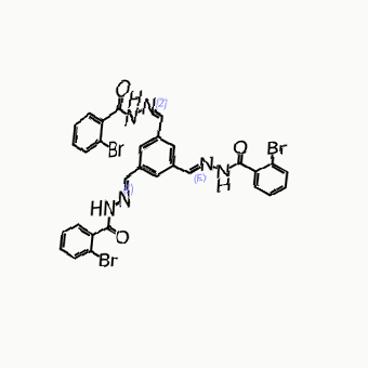 O=C(N/N=C\c1cc(/C=N/NC(=O)c2ccccc2Br)cc(/C=N/NC(=O)c2ccccc2Br)c1)c1ccccc1Br